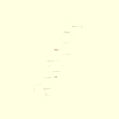 CNC12CCCC1C1CCC3C4(C)CC=C(c5ccc(C(=O)O)cc5)C(C)C4CCC3(C)[C@]1(C)CC2